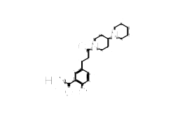 NC(=O)c1cc(C[CH]C(=O)N2CCC(N3CCCCC3)CC2)ccc1Cl